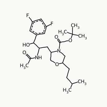 CC(=O)NC(CC1COC(CCC(C)C)CN1C(=O)OC(C)(C)C)C(O)c1cc(F)cc(F)c1